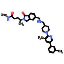 Cc1cccc(-c2cnc(N3CCC(CNCc4ccc5c(c4)CN(C(C)CCC(=O)NC=O)C5=O)CC3)c(C(F)(F)F)c2)c1